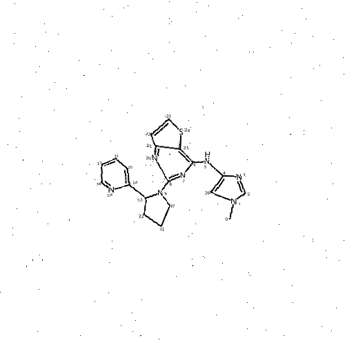 Cn1cnc(Nc2nc(N3CCCC3c3ccccn3)nc3ccsc23)c1